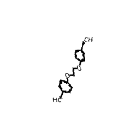 C#Cc1ccc(OCCOc2ccc(C#C)cc2)cc1